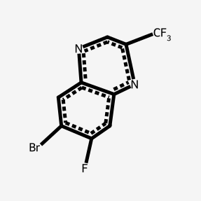 Fc1cc2nc(C(F)(F)F)cnc2cc1Br